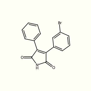 O=C1NC(=O)C(c2cccc(Br)c2)=C1c1ccccc1